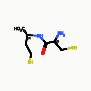 N[C@@H](CS)C(=O)N[C@@H](CCS)C(=O)O